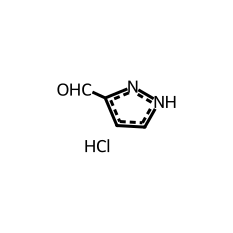 Cl.O=Cc1cc[nH]n1